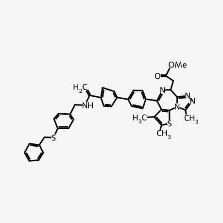 C=C(NCc1ccc(SCc2ccccc2)cc1)c1ccc(-c2ccc(C3=NC(CC(=O)OC)c4nnc(C)n4-c4sc(C)c(C)c43)cc2)cc1